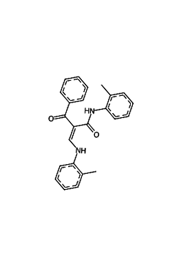 Cc1ccccc1N/C=C(\C(=O)Nc1ccccc1C)C(=O)c1ccccc1